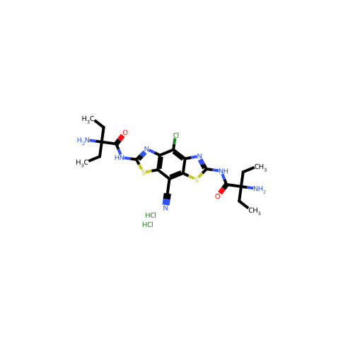 CCC(N)(CC)C(=O)Nc1nc2c(Cl)c3nc(NC(=O)C(N)(CC)CC)sc3c(C#N)c2s1.Cl.Cl